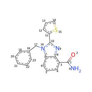 NC(=O)c1cccc2c1nc(-c1cccs1)n2Cc1ccccc1